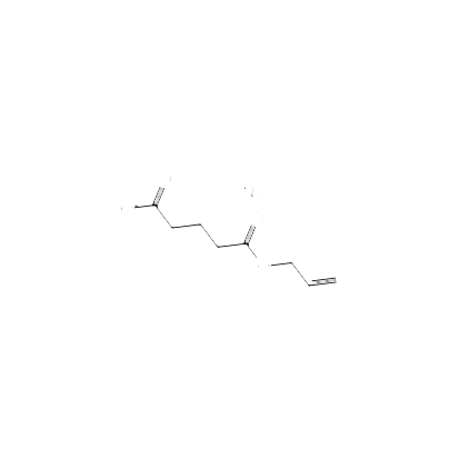 C=CCOC(=O)CCCC(=O)[O-].[Na+]